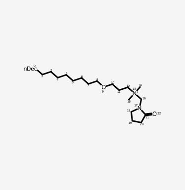 CCCCCCCCCCCCCCCCCCOCCC[N+](C)(C)CN1CCCC1=O